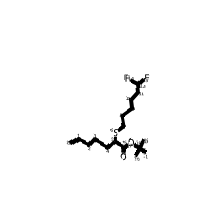 CCCCCC(SCCCCCC(F)F)C(=O)OC(C)(C)C